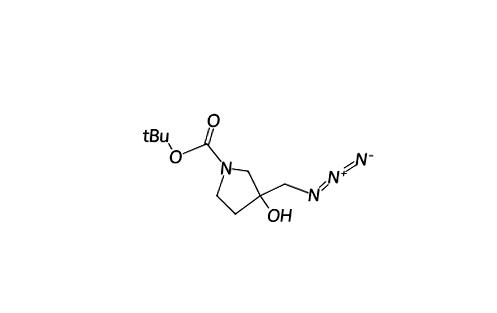 CC(C)(C)OC(=O)N1CCC(O)(CN=[N+]=[N-])C1